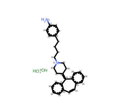 Cl.Cl.Nc1ccc(CCCCN2CCC(=C3c4ccccc4C=Cc4ccccc43)CC2)cc1